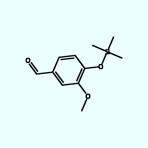 COc1cc(C=O)ccc1O[Si](C)(C)C